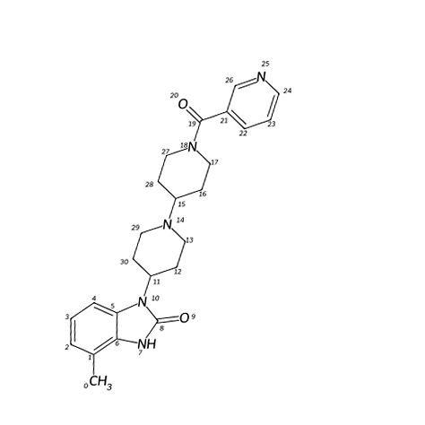 Cc1cccc2c1[nH]c(=O)n2C1CCN(C2CCN(C(=O)c3cccnc3)CC2)CC1